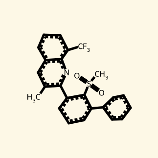 Cc1cc2cccc(C(F)(F)F)c2nc1-c1cccc(-c2ccccc2)c1S(C)(=O)=O